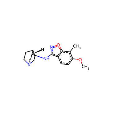 COc1ccc2c(N[C@@H]3CN4CCC3CC4)noc2c1C